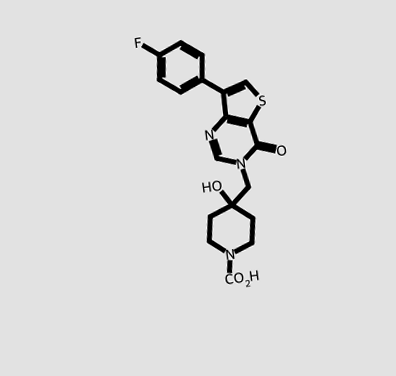 O=C(O)N1CCC(O)(Cn2cnc3c(-c4ccc(F)cc4)csc3c2=O)CC1